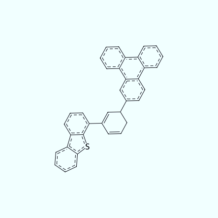 C1=CC(c2cccc3c2sc2ccccc23)=CC(c2ccc3c4ccccc4c4ccccc4c3c2)C1